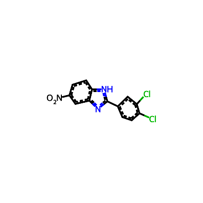 O=[N+]([O-])c1ccc2[nH]c(-c3ccc(Cl)c(Cl)c3)nc2c1